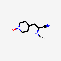 CNC(C#N)CC1CCN(O)CC1